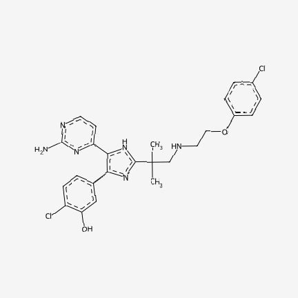 CC(C)(CNCCOc1ccc(Cl)cc1)c1nc(-c2ccc(Cl)c(O)c2)c(-c2ccnc(N)n2)[nH]1